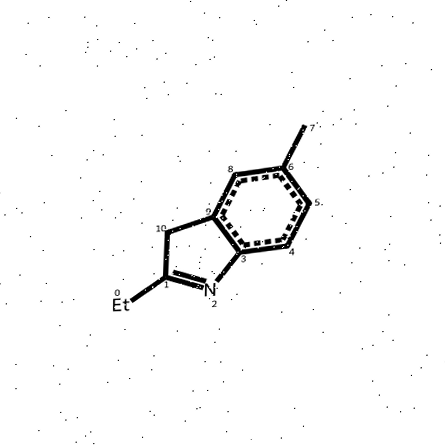 CCC1=Nc2ccc(C)cc2C1